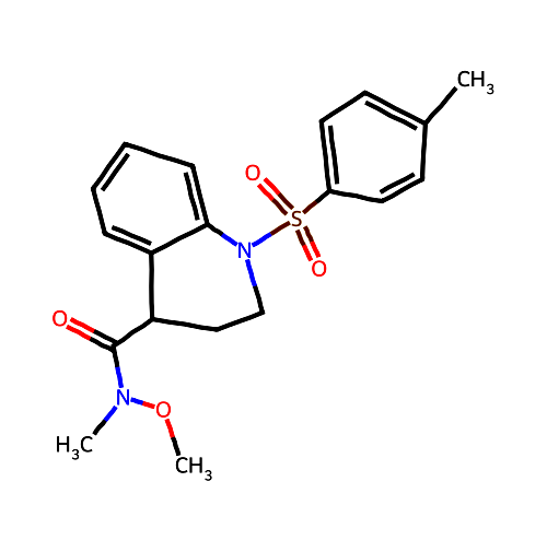 CON(C)C(=O)C1CCN(S(=O)(=O)c2ccc(C)cc2)c2ccccc21